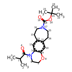 CC(C)C(=O)N1CCOc2cc3c(cc21)CCN(C(=O)OC(C)(C)C)CC3